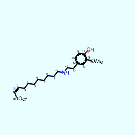 CCCCCCCC/C=C\CCCCCCCCNCCc1ccc(O)c(OC)c1